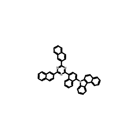 c1ccc2cc(-c3nc(-c4ccc5ccccc5c4)nc(-c4ccc(-n5c6ccccc6c6c7ccccc7ccc65)c5ccccc45)n3)ccc2c1